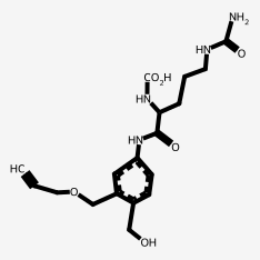 C#CCOCc1cc(NC(=O)C(CCCNC(N)=O)NC(=O)O)ccc1CO